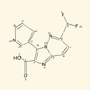 O=C(O)c1nc2ccc(C(F)F)nn2c1-c1cccnc1